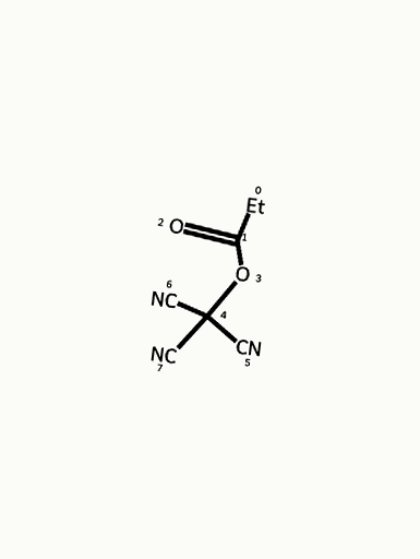 CCC(=O)OC(C#N)(C#N)C#N